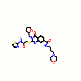 O=C(CSc1nc2cc(C(=O)NCCCN3CCOCC3)ccc2c(=O)n1CC1CCCO1)Nc1nccs1